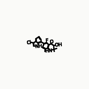 Cc1cc(-c2cccc3c(Cl)c[nH]c23)c(F)c2c1NC(C)(C)C(O)C2=O